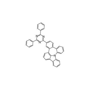 c1ccc(-c2nc(-c3ccccc3)nc(-c3ccc4c(c3)-c3cccc5c6ccccc6n(c35)-c3ccccc3-4)n2)cc1